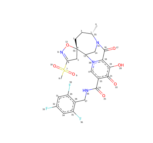 C[C@H]1CC[C@]2(CC(S(C)(=O)=O)=NO2)C2CN1C(=O)c1c(O)c(=O)c(C(=O)NCc3c(F)cc(F)cc3F)cn12